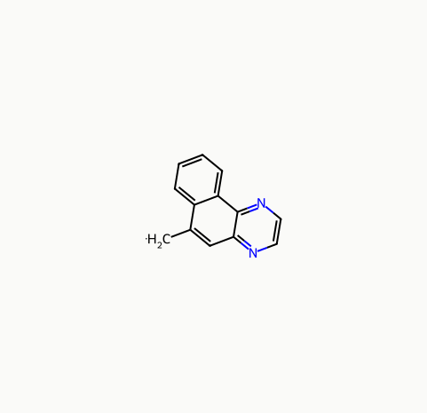 [CH2]c1cc2nccnc2c2ccccc12